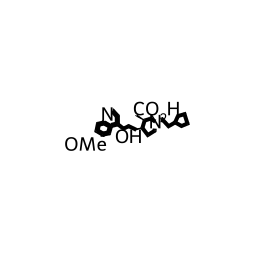 COc1ccc2nccc([C@@H](O)CC[C@@H]3CCN(CCC4CCCC4)C[C@@H]3CC(=O)O)c2c1